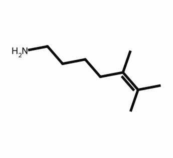 CC(C)=C(C)CCCCN